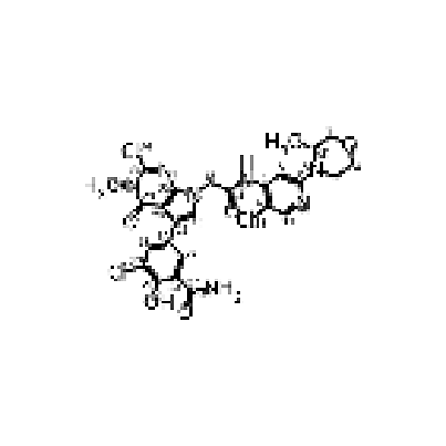 C[C@H]1COCCN1c1cc(NC(=O)Cn2cc(-c3cc(Cl)c(O)c(C(N)=O)c3)c3c(=O)n(C)c(Cl)nc32)c(Cl)cn1